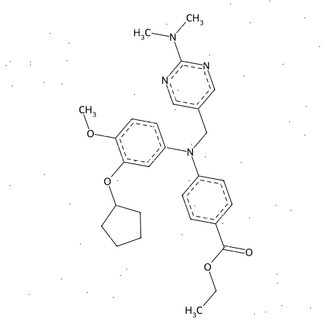 CCOC(=O)c1ccc(N(Cc2cnc(N(C)C)nc2)c2ccc(OC)c(OC3CCCC3)c2)cc1